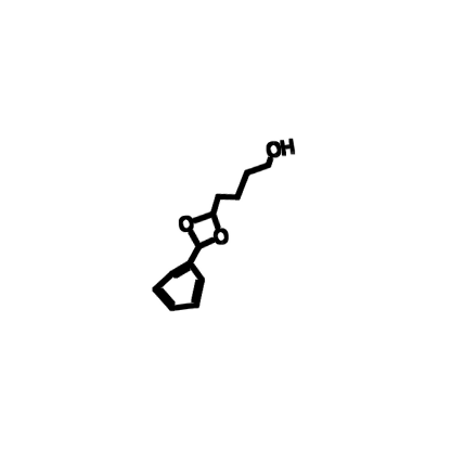 OCCCCC1OC(c2ccccc2)O1